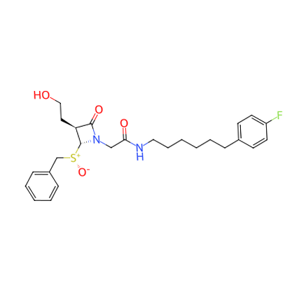 O=C(CN1C(=O)[C@H](CCO)[C@H]1[S@+]([O-])Cc1ccccc1)NCCCCCCc1ccc(F)cc1